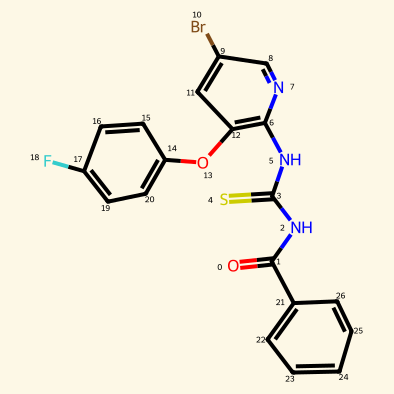 O=C(NC(=S)Nc1ncc(Br)cc1Oc1ccc(F)cc1)c1ccccc1